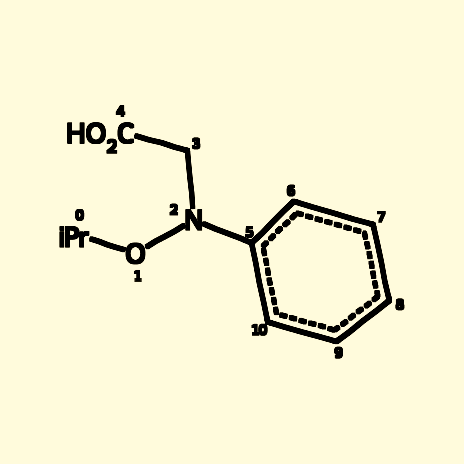 CC(C)ON(CC(=O)O)c1ccccc1